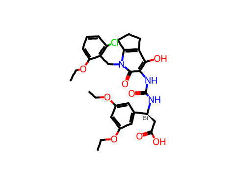 CCOc1cc(OCC)cc([C@H](CC(=O)O)NC(=O)Nc2c(O)c3c(n(Cc4c(Cl)cccc4OCC)c2=O)CCC3)c1